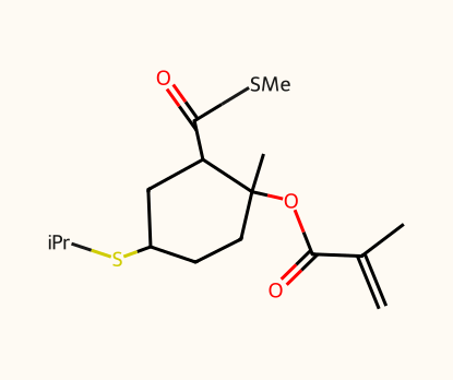 C=C(C)C(=O)OC1(C)CCC(SC(C)C)CC1C(=O)SC